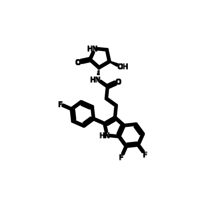 O=C(CCc1c(-c2ccc(F)cc2)[nH]c2c(F)c(F)ccc12)N[C@@H]1C(=O)NC[C@H]1O